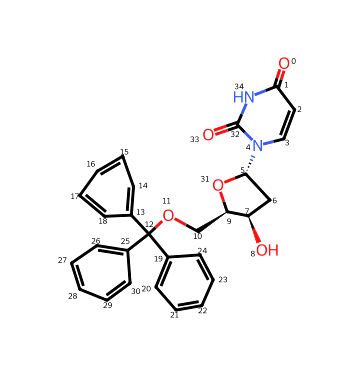 O=c1ccn([C@@H]2C[C@@H](O)[C@@H](COC(c3ccccc3)(c3ccccc3)c3ccccc3)O2)c(=O)[nH]1